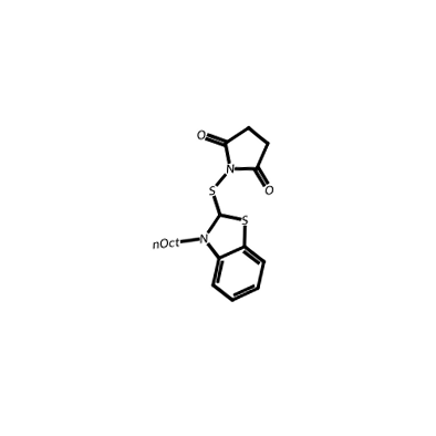 CCCCCCCCN1c2ccccc2SC1SN1C(=O)CCC1=O